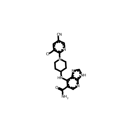 N#Cc1cnc(N2CCC(Nc3c(C(N)=O)cnc4[nH]cnc34)CC2)c(Cl)c1